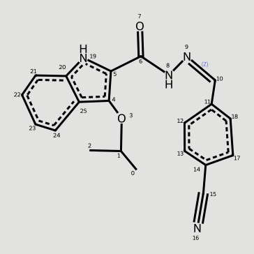 CC(C)Oc1c(C(=O)N/N=C\c2ccc(C#N)cc2)[nH]c2ccccc12